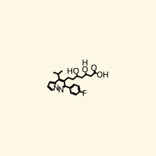 CC(C)c1c(CCC(O)CC(O)CC(=O)O)c(-c2ccc(F)cc2)nn2cccc12